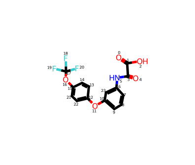 O=C(O)C(=O)Nc1cccc(Oc2ccc(OC(F)(F)F)cc2)c1